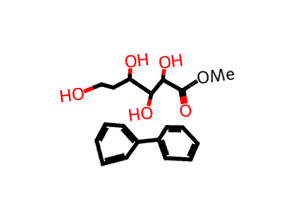 COC(=O)C(O)C(O)C(O)CCO.c1ccc(-c2ccccc2)cc1